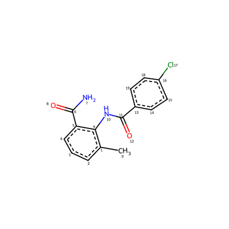 Cc1cccc(C(N)=O)c1NC(=O)c1ccc(Cl)cc1